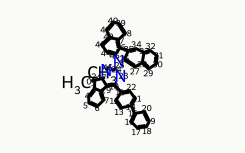 CC1(C)c2ccccc2-c2c(-c3ccc(-c4ccccc4)cc3)nc(-n3c4cc5ccccc5cc4c4c5ccccc5ccc43)nc21